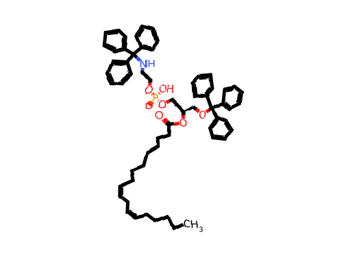 CCCCC/C=C\C/C=C\CCCCCCCC(=O)O[C@H](COC(c1ccccc1)(c1ccccc1)c1ccccc1)COP(=O)(O)OCCNC(c1ccccc1)(c1ccccc1)c1ccccc1